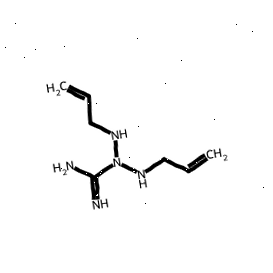 C=CCNN(NCC=C)C(=N)N